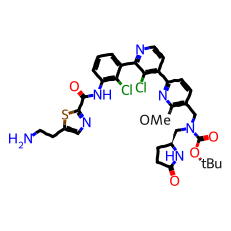 COc1nc(-c2ccnc(-c3cccc(NC(=O)c4ncc(CCN)s4)c3Cl)c2Cl)ccc1CN(C[C@@H]1CCC(=O)N1)C(=O)OC(C)(C)C